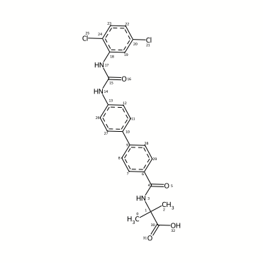 CC(C)(NC(=O)c1ccc(-c2ccc(NC(=O)Nc3cc(Cl)ccc3Cl)cc2)cc1)C(=O)O